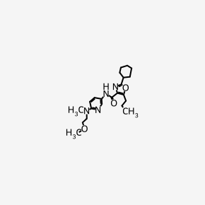 CCCc1oc(C2CCCCC2)nc1C(=O)Nc1ccc(N(C)CCOC)nc1